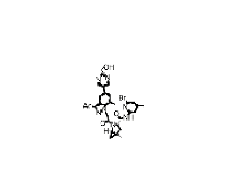 CC(=O)c1nn(CC(=O)N2[C@H](C(=O)Nc3cc(C)cc(Br)n3)C[C@@]3(C)C[C@@H]23)c2c(C)cc(-c3cnc(CO)nc3)cc12